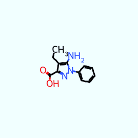 CCc1c(C(=O)O)nn(-c2ccccc2)c1N